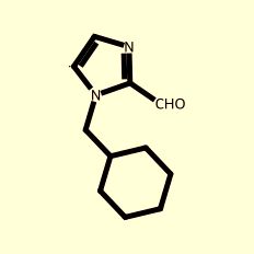 O=Cc1nc[c]n1CC1CCCCC1